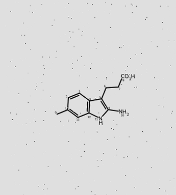 Cc1ccc2c(CCC(=O)O)c(N)[nH]c2c1